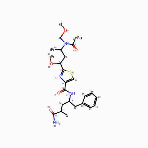 CCCCC(=O)N(COCC)C(CC(OCCC)c1nc(C(=O)NC(Cc2ccccc2)CC(C)C(N)=O)cs1)C(C)C